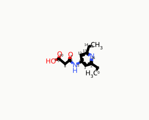 CCc1cc(NC(=O)CC(=O)O)cc(CC)n1